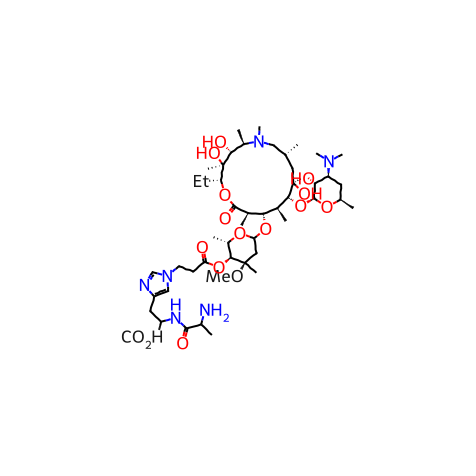 CC[C@H]1OC(=O)[C@H](C)[C@@H](OC2C[C@@](C)(OC)[C@@H](OC(=O)CCn3cnc(CC(NC(=O)C(C)N)C(=O)O)c3)[C@H](C)O2)[C@H](C)[C@@H](O[C@@H]2O[C@H](C)C[C@H](N(C)C)[C@H]2O)[C@](C)(O)C[C@@H](C)CN(C)[C@H](C)[C@@H](O)[C@]1(C)O